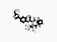 CCc1ncc(-c2ccc(C[C@@H](C#N)NC(=O)[C@@H]3[C@H]4CC[C@H](C4)N3C(=O)OC(C)(C)C)c(F)c2)s1